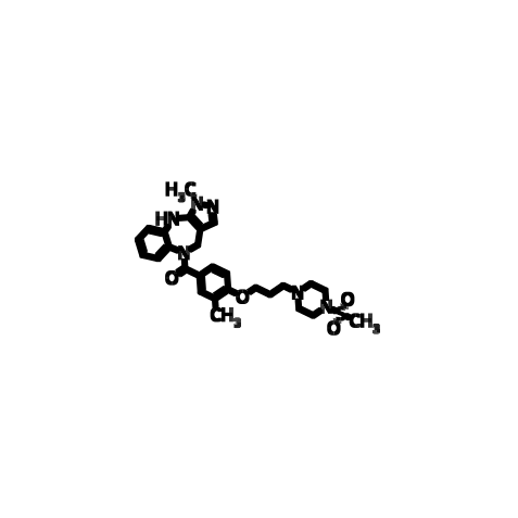 Cc1cc(C(=O)N2Cc3cnn(C)c3Nc3ccccc32)ccc1OCCCN1CCN(S(C)(=O)=O)CC1